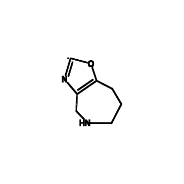 [c]1nc2c(o1)CCCNC2